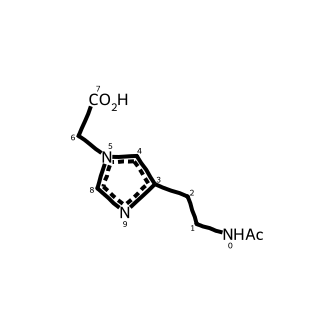 CC(=O)NCCc1cn(CC(=O)O)cn1